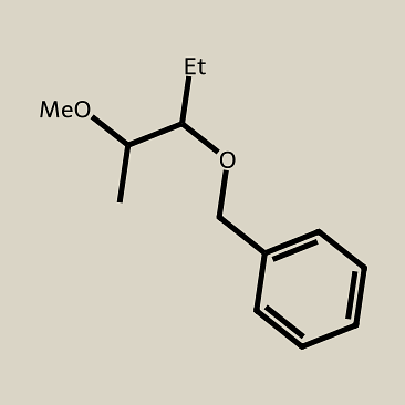 CCC(OCc1ccccc1)C(C)OC